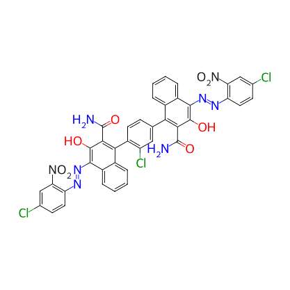 NC(=O)c1c(O)c(N=Nc2ccc(Cl)cc2[N+](=O)[O-])c2ccccc2c1-c1ccc(-c2c(C(N)=O)c(O)c(N=Nc3ccc(Cl)cc3[N+](=O)[O-])c3ccccc23)c(Cl)c1